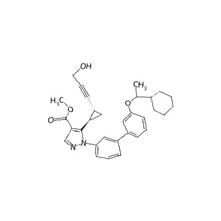 COC(=O)c1cnn(-c2cccc(-c3cccc(OC(C)C4CCCCC4)c3)c2)c1[C@@H]1C[C@H]1C#CCO